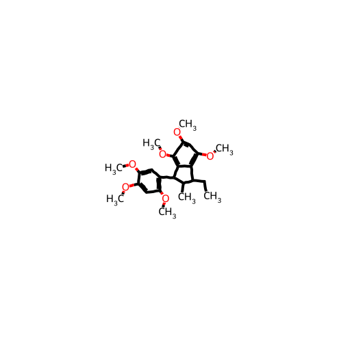 CCC1c2c(OC)cc(OC)c(OC)c2C(c2cc(OC)c(OC)cc2OC)C1C